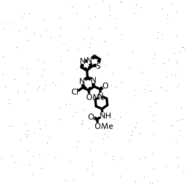 COC(=O)NC1CCN(C(=O)c2nc(-c3cnn4ccsc34)nc(Cl)c2OC)CC1